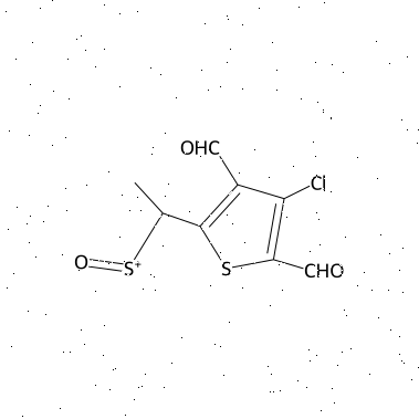 CC([S+]=O)c1sc(C=O)c(Cl)c1C=O